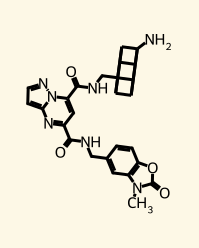 Cn1c(=O)oc2ccc(CNC(=O)c3cc(C(=O)NCC45C6C7C4C4C5C6C74N)n4nccc4n3)cc21